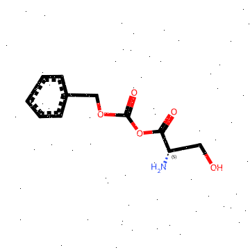 N[C@@H](CO)C(=O)OC(=O)OCc1ccccc1